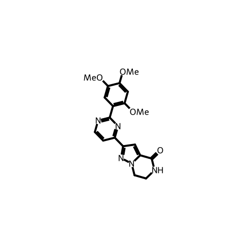 COc1cc(OC)c(-c2nccc(-c3cc4n(n3)CCNC4=O)n2)cc1OC